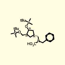 CC(C)(C)[Si](C)(C)OC[C@@H]1C[C@@H](CN(Cc2ccccc2)C(=O)O)C[C@@H]1O[Si](C)(C)C(C)(C)C